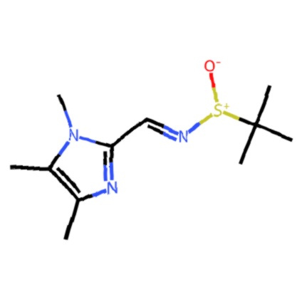 Cc1nc(/C=N/[S+]([O-])C(C)(C)C)n(C)c1C